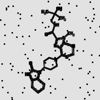 Cn1c(C(=O)NCC(C)(C)O)nc2c(N3CCC(n4c(=O)[nH]c5ccccc54)CC3)ncnc21